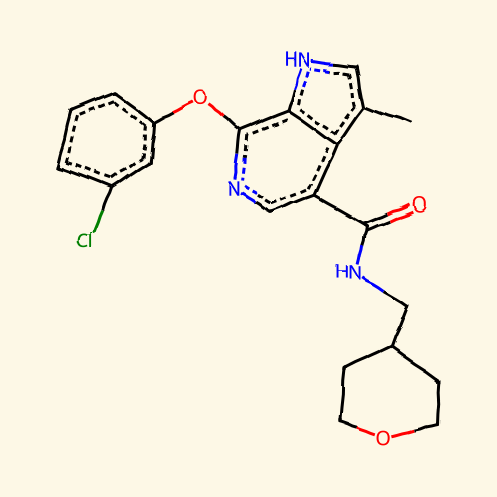 Cc1c[nH]c2c(Oc3cccc(Cl)c3)ncc(C(=O)NCC3CCOCC3)c12